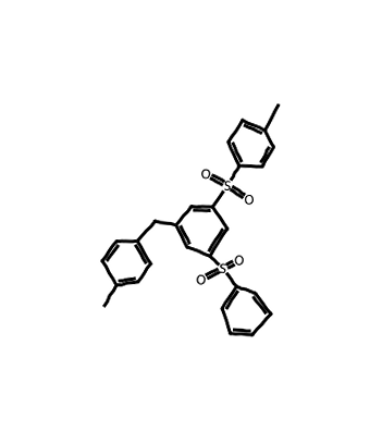 Cc1ccc(Cc2cc(S(=O)(=O)c3ccccc3)cc(S(=O)(=O)c3ccc(C)cc3)c2)cc1